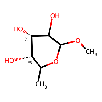 COC1OC(C)[C@H](O)[C@H](O)C1O